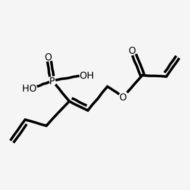 C=CCC(=CCOC(=O)C=C)P(=O)(O)O